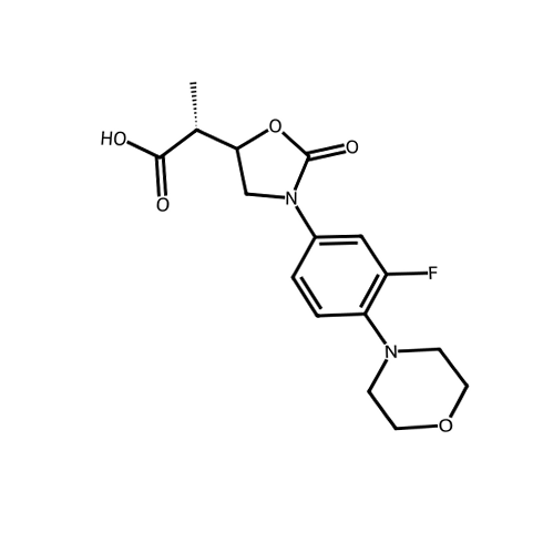 C[C@@H](C(=O)O)C1CN(c2ccc(N3CCOCC3)c(F)c2)C(=O)O1